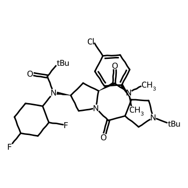 CN(C)C(=O)[C@@H]1C[C@H](N(C(=O)C(C)(C)C)C2CCC(F)CC2F)CN1C(=O)C1CN(C(C)(C)C)C[C@@H]1c1ccc(Cl)cc1